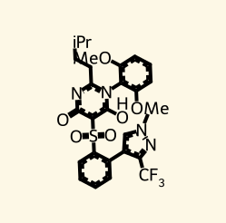 COc1cccc(OC)c1-n1c(CCC(C)C)nc(=O)c(S(=O)(=O)c2ccccc2-c2cn(C)nc2C(F)(F)F)c1O